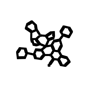 O=c1c2ccccc2c2cc(-c3ccccc3)cc3c2n1-c1ccc(-c2ccccc2)cc1C31c2ccccc2-n2c3ccccc3c3cccc1c32